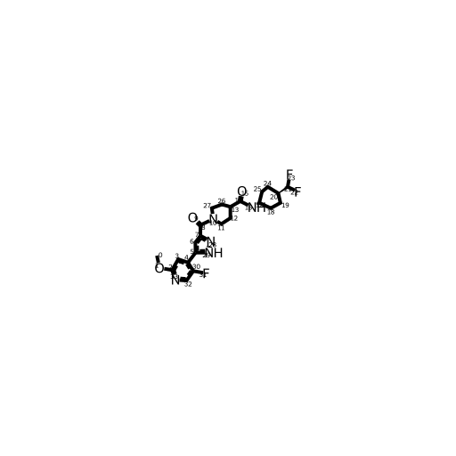 COc1cc(-c2cc(C(=O)N3CCC(C(=O)N[C@H]4CC[C@H](C(F)F)CC4)CC3)n[nH]2)c(F)cn1